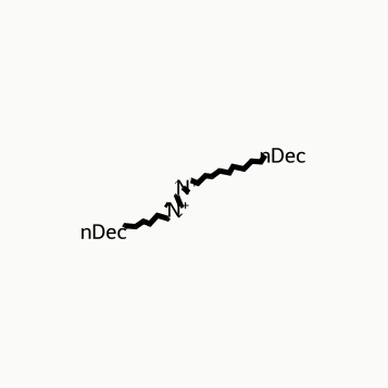 CCCCCCCCCCCCCCCCCCCC[N+](C)(C)CC[N+](C)(C)CCCCCCCCCCCCCCCC